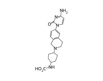 Nc1ccn(-c2ccc3c(c2)CCN(C2CCC(NC(=O)O)CC2)C3)c(=O)n1